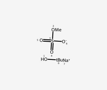 CC(C)(C)O.COS(=O)(=O)[O-].[Na+]